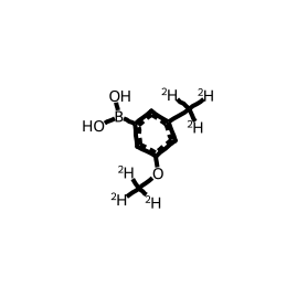 [2H]C([2H])([2H])Oc1cc(B(O)O)cc(C([2H])([2H])[2H])c1